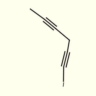 CC#CCC#CI